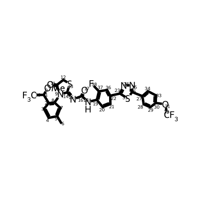 COC(c1ccc(C)cc1N1C(=O)CS/C1=N\C(=O)Nc1ccc(-c2nnc(-c3ccc(OC(F)(F)F)cc3)s2)cc1F)C(F)(F)F